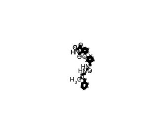 CN(CCNC(=O)NCc1cccc(Oc2cccc3c2C(=O)NC(=O)C3=O)c1)CC1CCCCC1